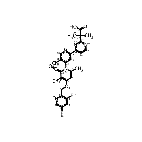 CC1=CC(OCc2ncc(F)cc2F)=C(Cl)C(=C=O)N1c1cc(-c2ccnc(C(C)(C)C(=O)O)n2)ncc1Cl